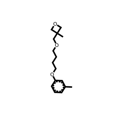 Cc1cccc(OCCCCOCC2(C)COC2)c1